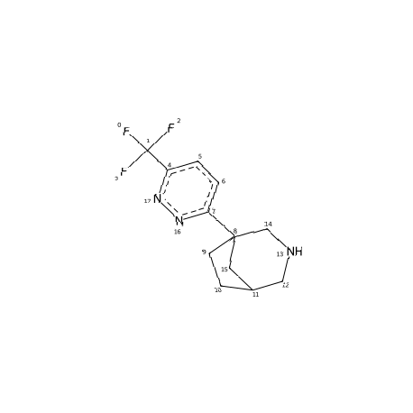 FC(F)(F)c1ccc(C23CCC(CNC2)C3)nn1